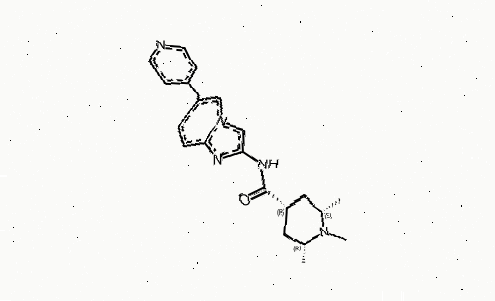 C[C@@H]1C[C@H](C(=O)Nc2cn3cc(-c4ccncc4)ccc3n2)C[C@H](C)N1C